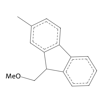 COCC1c2ccccc2-c2ccc(C)cc21